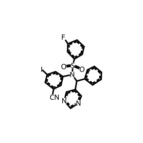 N#Cc1cc(I)cc(N(C(c2ccccc2)c2cncnc2)S(=O)(=O)c2cccc(F)c2)c1